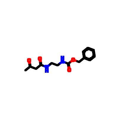 CC(=O)CC(=O)NCCNC(=O)OCc1ccccc1